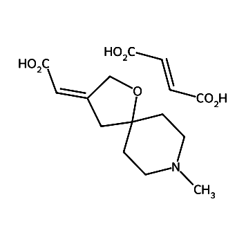 CN1CCC2(CC1)CC(=CC(=O)O)CO2.O=C(O)C=CC(=O)O